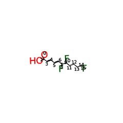 O=C(O)C=CC=CC(F)C(F)CCCCF